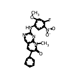 COc1cc(F)c([N+](=O)[O-])cc1Nc1ncc2cc(-c3ccccc3)c(=O)n(C)c2n1